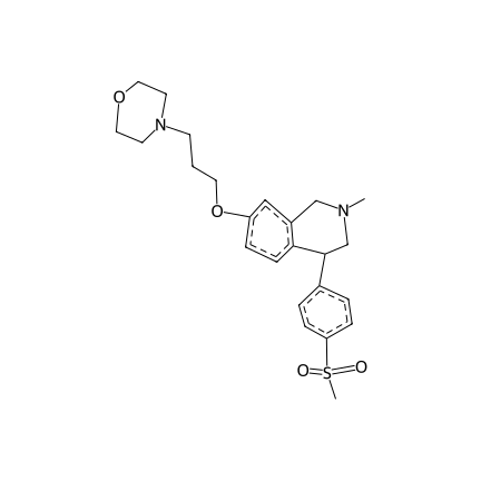 CN1Cc2cc(OCCCN3CCOCC3)ccc2C(c2ccc(S(C)(=O)=O)cc2)C1